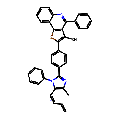 C=C/C=C\c1c(C)nc(-c2ccc(-c3sc4c(c(-c5ccccc5)nc5ccccc54)c3C#N)cc2)n1-c1ccccc1